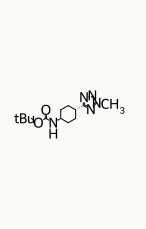 Cn1nnc([C@H]2CC[C@H](NC(=O)OC(C)(C)C)CC2)n1